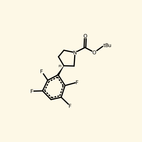 CC(C)(C)OC(=O)N1CC[C@H](c2c(F)c(F)cc(F)c2F)C1